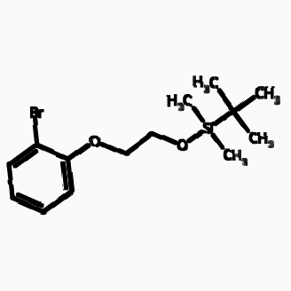 CC(C)(C)[Si](C)(C)OCCOc1ccccc1Br